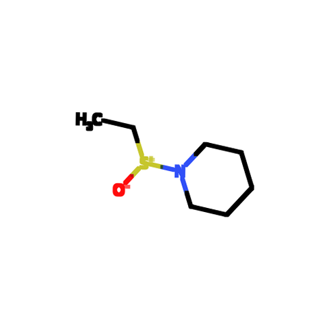 CC[S+]([O-])N1CCCCC1